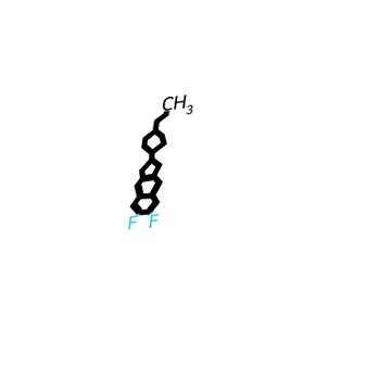 CCCC1CCC(C2Cc3cc4cc(F)c(F)cc4cc3C2)CC1